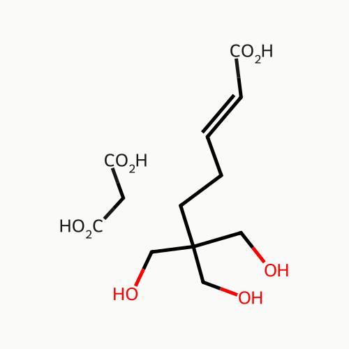 O=C(O)C=CCCC(CO)(CO)CO.O=C(O)CC(=O)O